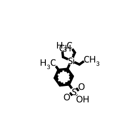 CC[Si](CC)(CC)c1cc(S(=O)(=O)O)ccc1C